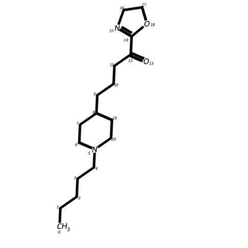 CCCCCN1CCC(CCCC(=O)C2=NCCO2)CC1